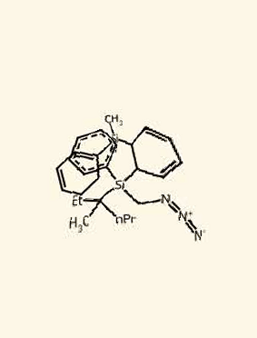 CCCC(C)(CC)[Si](CN=[N+]=[N-])(c1ccccc1)C1C=CC=CC1[SiH](C)C1=CC=CCC1